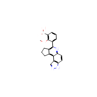 COc1c(B(O)O)cccc1-c1nc2ccc3[nH]ncc3c2c2c1CCC2